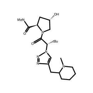 CNC(=O)[C@H]1C[C@H](O)CN1C(=O)[C@@H](n1cc(CC2CCCCN2C)nn1)C(C)(C)C